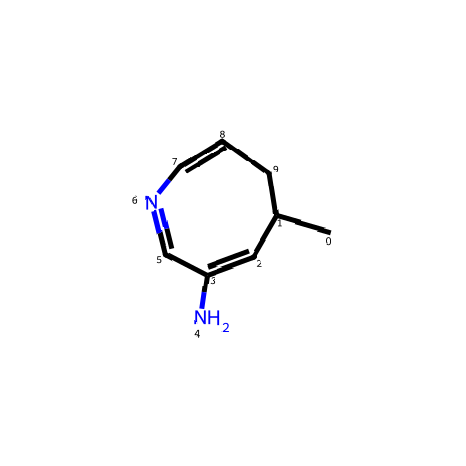 CC1\C=C(N)/C=N\C=C/C1